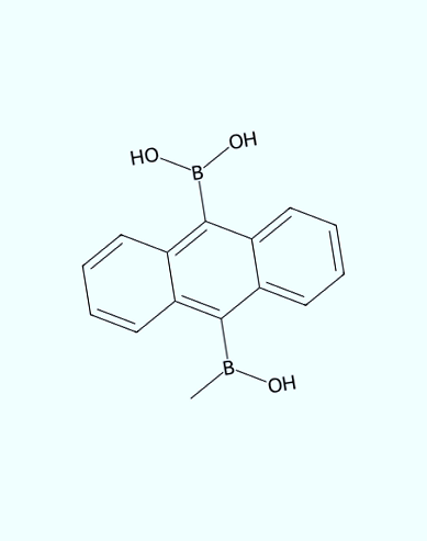 CB(O)c1c2ccccc2c(B(O)O)c2ccccc12